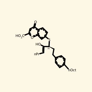 CCCC=C(O)[C@H](CCc1ccc(CCCCCCCC)cc1)Sc1ccc2c(=O)cc(C(=O)O)oc2c1